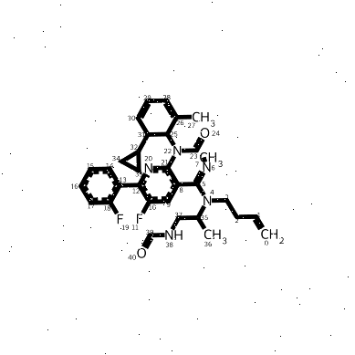 C=CCCN(/C(=N/C)c1cc(F)c(-c2ccccc2F)nc1N(C=O)C1C(C)=CC=CC1C1CC1)C(C)CNC=O